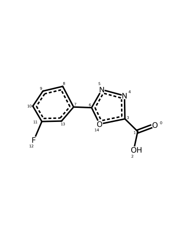 O=C(O)c1nnc(-c2cccc(F)c2)o1